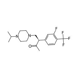 CC(=O)[C@@H](CN1CCN(C(C)C)CC1)c1ccc(C(F)(F)F)c(F)c1